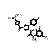 CN(C(=O)N(C)[C@@H]1CN(C(=O)C2CC(N(C(=O)O)C(C)(C)C)C2)C[C@H]1c1ccc(F)cc1)c1cc(C(F)(F)F)cc(C(F)(F)F)c1